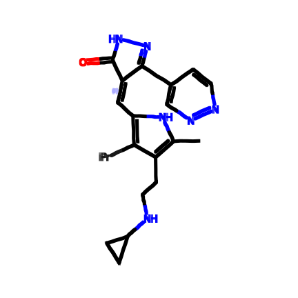 Cc1[nH]c(/C=C2/C(=O)NN=C2c2ccnnc2)c(C(C)C)c1CCNC1CC1